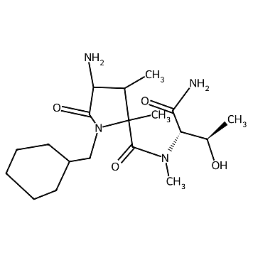 CC1C(N)C(=O)N(CC2CCCCC2)C1(C)C(=O)N(C)[C@H](C(N)=O)[C@@H](C)O